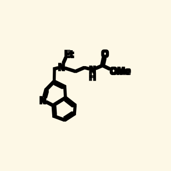 CCN(CCNC(=O)OC)Cc1cnc2ccccc2c1